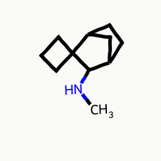 CNC1C2CCC(C2)C12CCC2